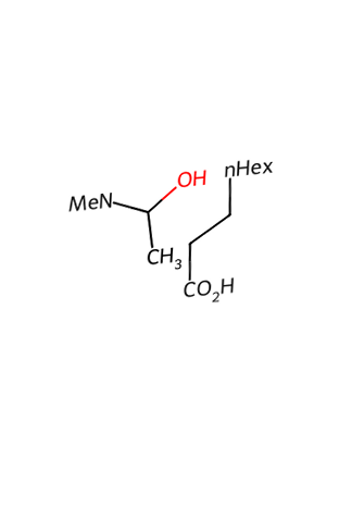 CCCCCCCCC(=O)O.CNC(C)O